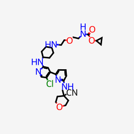 N#CC1(CNc2cccc(-c3cc(NC4CCC(NCCOCCNC(=O)OC5CC5)CC4)ncc3Cl)n2)CCOCC1